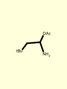 CC(=O)OC(N)CC(C)(C)C